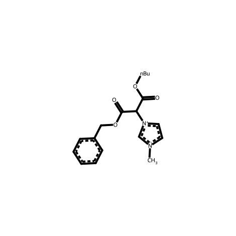 CCCCOC(=O)C(C(=O)OCc1ccccc1)[n+]1ccn(C)c1